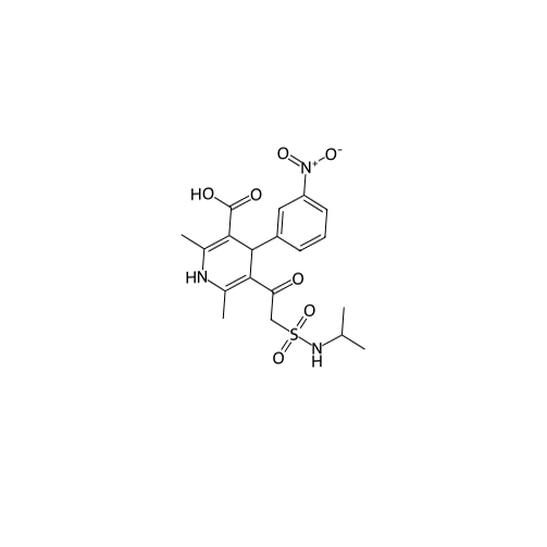 CC1=C(C(=O)O)C(c2cccc([N+](=O)[O-])c2)C(C(=O)CS(=O)(=O)NC(C)C)=C(C)N1